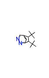 CC(C)(C)C1c2cnnc(c2)C1C(C)(C)C